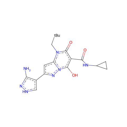 CC(C)(C)Cn1c(=O)c(C(=O)NC2CC2)c(O)n2nc(-c3c[nH]nc3N)cc12